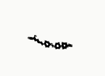 N#CC(F)=CC=CCC[C@H]1CC[C@H](OC[C@H]2CC[C@H](c3ccc(C#N)cc3)CC2)CC1